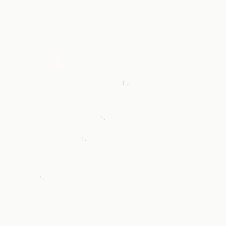 COc1ccc(C2c3[nH]c4c(c3CCN2c2nc(-c3ccncc3)cs2)=CC(Cl)CC=4)cc1